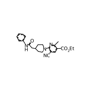 CCOC(=O)c1cc(C#N)c(N2CCC(CC(=O)Nc3ccccc3)CC2)nc1C